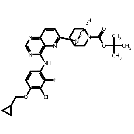 CC(C)(C)OC(=O)N1CC2CC[C@@H]1CN2c1ccc2ncnc(Nc3ccc(OCC4CC4)c(Cl)c3F)c2n1